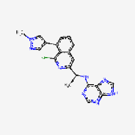 C[C@H](Nc1ncnc2[nH]cnc12)c1cc2cccc(-c3cnn(C)c3)c2c(Cl)n1